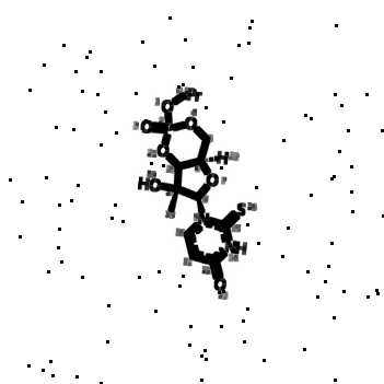 CC(C)OP1(=O)OC[C@H]2O[C@@H](n3ccc(=O)[nH]c3=S)[C@](C)(O)C2O1